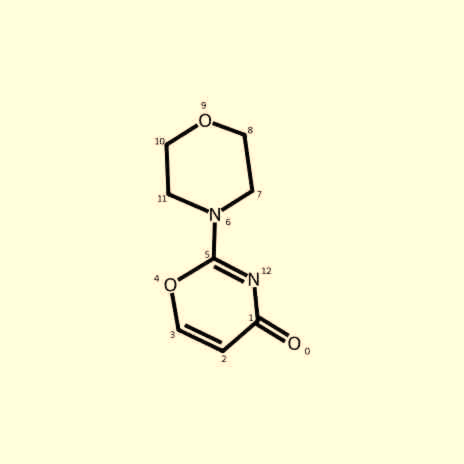 O=c1ccoc(N2CCOCC2)n1